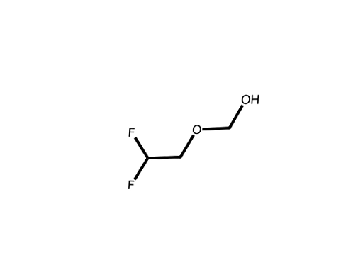 OCOCC(F)F